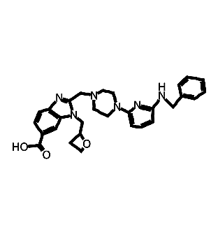 O=C(O)c1ccc2nc(CN3CCN(c4cccc(NCc5ccccc5)n4)CC3)n(CC3CCO3)c2c1